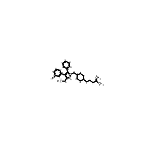 C=C(C)CCCC1CCC(Cn2nc(CC)c(-c3cccc(F)c3)c2-c2ccccc2)CC1